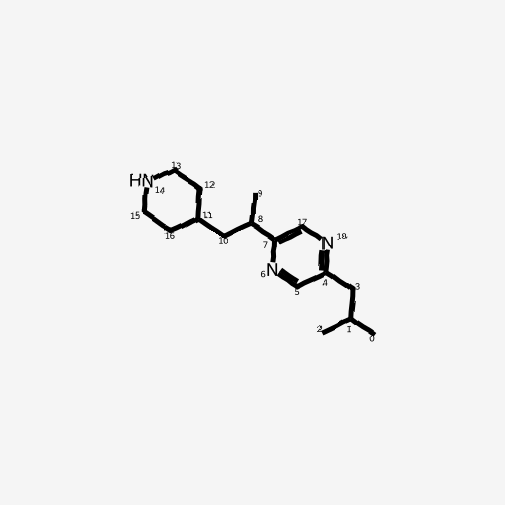 CC(C)Cc1cnc(C(C)CC2CCNCC2)cn1